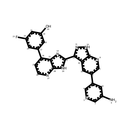 Nc1cncc(-c2cnc3[nH]nc(-c4nc5c(-c6cc(O)cc(F)c6)ccnc5[nH]4)c3c2)c1